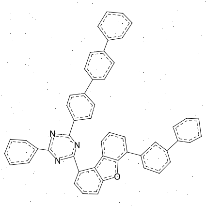 c1ccc(-c2ccc(-c3ccc(-c4nc(-c5ccccc5)nc(-c5cccc6oc7c(-c8cccc(-c9ccccc9)c8)cccc7c56)n4)cc3)cc2)cc1